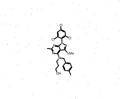 CSc1nn(-c2c(Cl)cc(Cl)cc2Cl)c2nc(C)nc(N(CCCO)Cc3ccc(C)cc3)c12